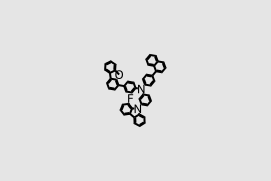 Fc1cccc2c3ccccc3n(-c3cccc(N(c4ccc(-c5cccc6ccccc56)cc4)c4ccc(-c5cccc6c5oc5ccccc56)cc4)c3)c12